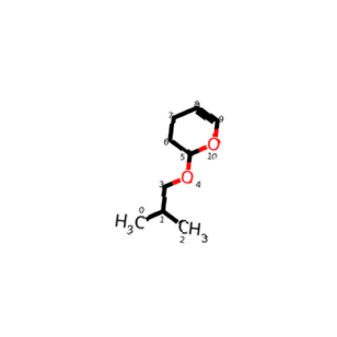 CC(C)COC1CCC=CO1